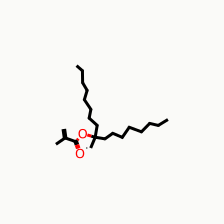 [CH2]C(CCCCCCCC)(CCCCCCCC)OC(=O)C(=C)C